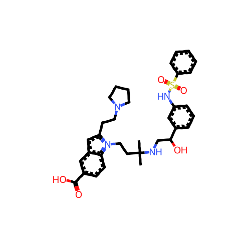 CC(C)(CCn1c(CCN2CCCC2)cc2cc(C(=O)O)ccc21)NCC(O)c1cccc(NS(=O)(=O)c2ccccc2)c1